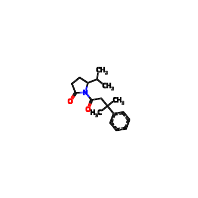 CC(C)C1CCC(=O)N1C(=O)CC(C)(C)c1ccccc1